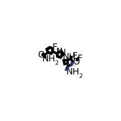 C=C(/C(=C\C=C/N)OC(F)F)C1(Nc2ccc(-c3cc(C(N)=O)ccc3F)nn2)CCC1